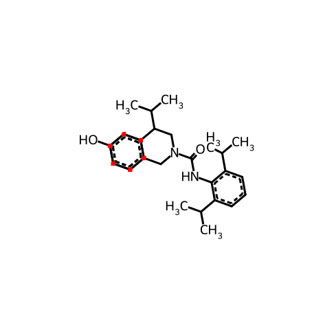 CC(C)c1cccc(C(C)C)c1NC(=O)N(Cc1ccc(O)cc1)CC(c1ccccc1)C(C)C